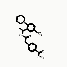 COC(=O)c1ccc(CC(=O)NC(C)c2cc([N+](=O)[O-])ccc2N2CCCCC2)cc1